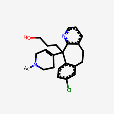 CC(=O)N1CC=C(C2(CCCO)c3ccc(Cl)cc3CCc3cccnc32)CC1